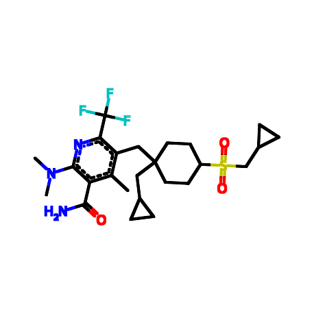 Cc1c(CC2(CC3CC3)CCC(S(=O)(=O)CC3CC3)CC2)c(C(F)(F)F)nc(N(C)C)c1C(N)=O